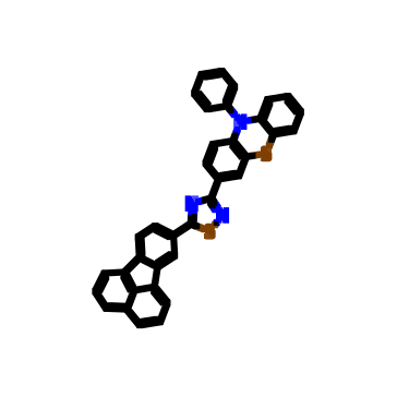 c1ccc(N2c3ccccc3Sc3cc(-c4nsc(-c5ccc6c(c5)-c5cccc7cccc-6c57)n4)ccc32)cc1